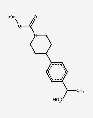 CC(C(=O)O)c1ccc(C2CCN(C(=O)OC(C)(C)C)CC2)cc1